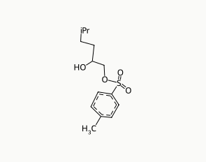 Cc1ccc(S(=O)(=O)OCC(O)CCC(C)C)cc1